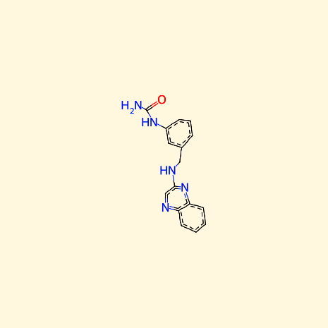 NC(=O)Nc1cccc(CNc2cnc3ccccc3n2)c1